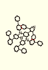 c1ccc(-c2ccc(N3c4ccc(-c5ccccc5-c5ccccc5)cc4B4c5cc(-c6ccccc6-c6ccccc6)ccc5N(c5ccc(-c6ccccc6)cc5)c5cc(-c6c(-c7ccccc7)cncc6-c6ccccc6)cc3c54)cc2)cc1